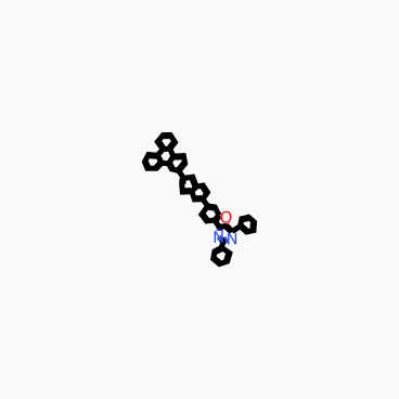 c1ccc(-c2nc(-c3ccccc3)c3oc4cc(-c5ccc6cc(-c7ccc8c9ccccc9c9ccccc9c8c7)ccc6c5)ccc4c3n2)cc1